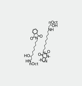 CCCCCCCCC(O)CNCCCCCCCCCn1c(=O)c2c(ncn2C)n(C)c1=O.CCCCCCCCNCC(O)CCCCCCCN1C(=O)c2ccccc2C1=O